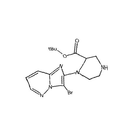 CC(C)(C)OC(=O)C1CNCCN1c1nc2cccnn2c1Br